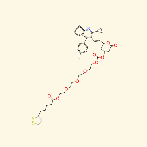 O=C(CCCCC1CCSS1)OCCOCCOCCOCCOC(=O)OC1CC(=O)OC(/C=C/c2c(C3CC3)nc3ccccc3c2-c2ccc(F)cc2)C1